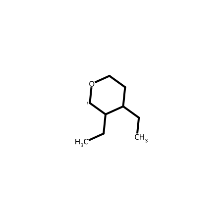 CCC1[C]OCCC1CC